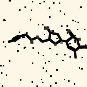 CC#CCPOCC1O[C@H](C2C=C(C)C(=O)NC2=O)C[C@@H]1O